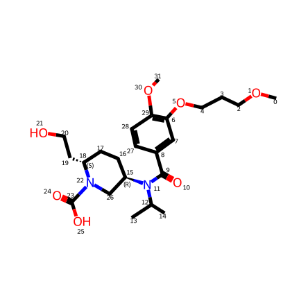 COCCCOc1cc(C(=O)N(C(C)C)[C@@H]2CC[C@@H](CCO)N(C(=O)O)C2)ccc1OC